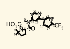 CN(C(=O)[C@@H]1CCC(C)(C)N1C(=O)O)c1cc(-c2ccc(C(F)(F)F)nc2)ncn1